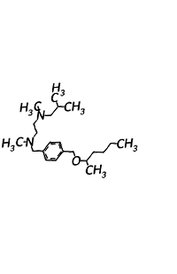 CCCCC(C)OCc1ccc(CN(C)CCN(C)CC(C)C)cc1